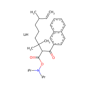 C=CC(C)CCCC(C)(C)C(C(=O)ON(C(C)C)C(C)C)C(=O)c1ccc2ccccc2c1.[LiH]